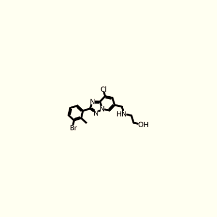 Cc1c(Br)cccc1-c1nc2c(Cl)cc(CNCCO)cn2n1